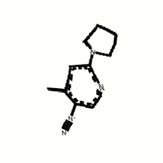 Cc1cc(N2CCCC2)ncc1[N+]#N